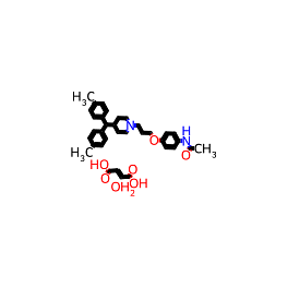 CC(=O)Nc1ccc(OCCCN2CCC(C(c3ccc(C)cc3)c3ccc(C)cc3)CC2)cc1.O.O=C(O)/C=C/C(=O)O